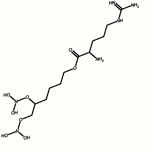 N=C(N)NCCCC(N)C(=O)OCCCCC(CON(O)O)ON(O)O